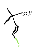 CC(C)(C=CF)C(=O)O